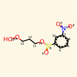 O=[N+]([O-])c1cccc(S(=O)OCCCOO)c1